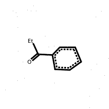 [CH]CC(=O)c1ccccc1